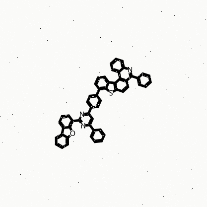 c1ccc(-c2cc(-c3ccc(-c4cccc5c4sc4ccc6c(-c7ccccc7)nc7ccccc7c6c45)cc3)nc(-c3cccc4c3oc3ccccc34)n2)cc1